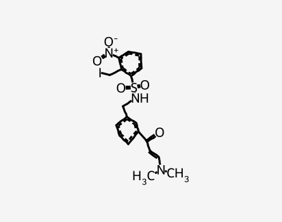 CN(C)C=CC(=O)c1cccc(CNS(=O)(=O)c2cccc([N+](=O)[O-])c2CI)c1